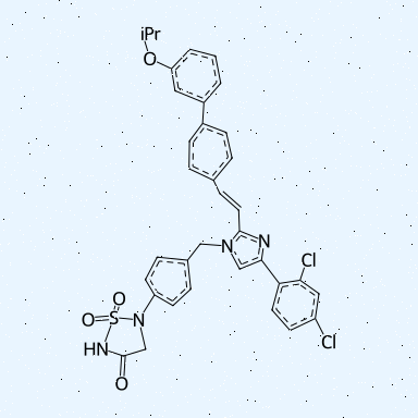 CC(C)Oc1cccc(-c2ccc(/C=C/c3nc(-c4ccc(Cl)cc4Cl)cn3Cc3ccc(N4CC(=O)NS4(=O)=O)cc3)cc2)c1